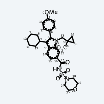 COc1ccc(-c2c(C3CCCCC3)c3ccc(C(=O)NS(=O)(=O)N4CCOCC4)cc3n2CC2(C(=O)O)CC2)cc1